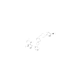 CCN(C(=O)c1cc(F)ccc1Oc1nncnc1N1CC2(CCN(CC3CCN(c4ccc(C#N)cn4)CC3)CC2)C1)C(C)C